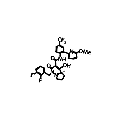 COc1cccc(-c2cc(C(F)(F)F)ccc2NC(=O)C2=C(O)[C@@]3(C)CCCN3N(Cc3cccc(F)c3F)C2=O)n1